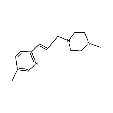 Cc1ccc(/C=C/CN2CCN(C)CC2)nc1